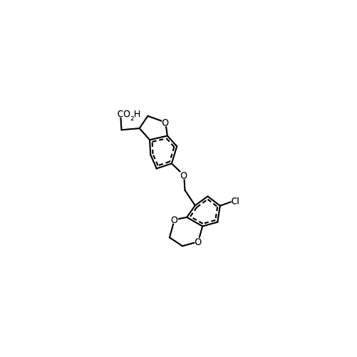 O=C(O)CC1COc2cc(OCc3cc(Cl)cc4c3OCCO4)ccc21